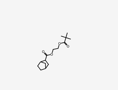 CC(C)(C)C(=O)OCCOC(=O)C1CC2CCC1C2